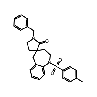 Cc1ccc(S(=O)(=O)N2CCC3(CCN(Cc4ccccc4)C3=O)Cc3ccccc32)cc1